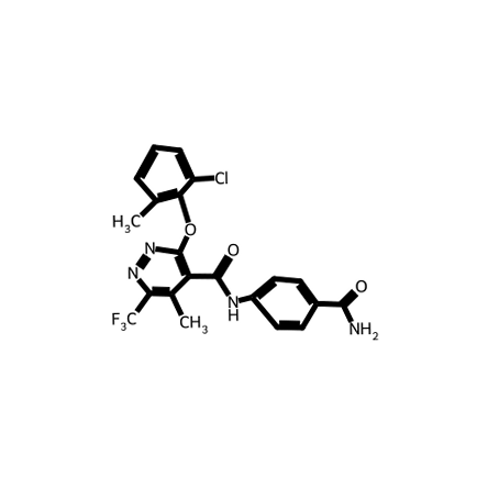 Cc1cccc(Cl)c1Oc1nnc(C(F)(F)F)c(C)c1C(=O)Nc1ccc(C(N)=O)cc1